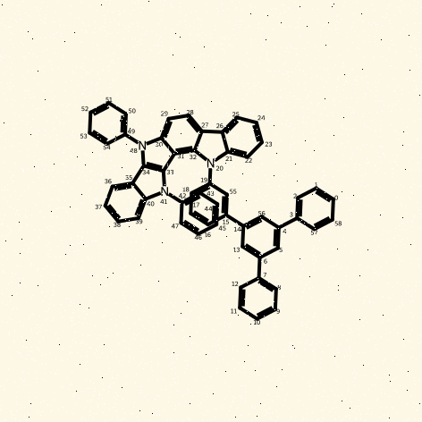 c1ccc(-c2cc(-c3ccccc3)cc(-c3cccc(-n4c5ccccc5c5ccc6c(c54)c4c(c5ccccc5n4-c4ccccc4)n6-c4ccccc4)c3)c2)cc1